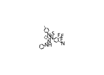 Cc1ccc(N2C(=S)N(c3ccc(C#N)c(C(F)(F)F)c3)/C(=N/CNc3ccccc3)C23CCC3)cc1